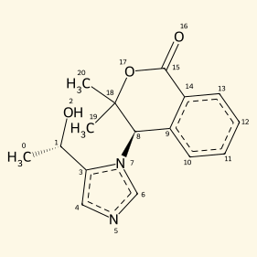 C[C@H](O)c1cncn1[C@@H]1c2ccccc2C(=O)OC1(C)C